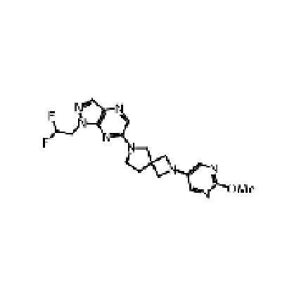 COc1ncc(N2CC3(CCN(c4cnc5cnn(CC(F)F)c5n4)C3)C2)cn1